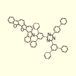 C1=CCC(c2cc(-c3ccccc3)cc(-c3nc(-c4ccc(-c5ccccc5)cc4)nc(-c4cc(C5=CCCC=C5)c(-n5c6ccccc6c6c7oc8c(ccc9c%10ccccc%10oc98)c7ccc65)c(-c5ccccc5)c4)n3)c2)C=C1